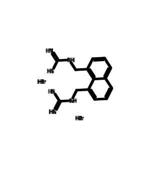 Br.Br.N=C(S)NCc1cccc2cccc(CNC(=N)S)c12